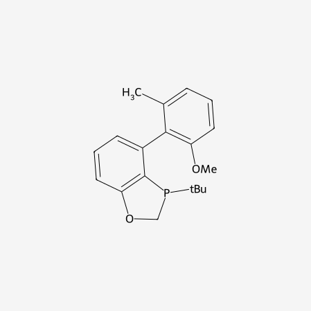 COc1cccc(C)c1-c1cccc2c1P(C(C)(C)C)CO2